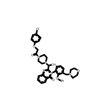 CC(C)Oc1c(CN2CCOCC2)cccc1-n1c(C(C)N2CCN(C(=O)COc3ccc(Cl)cc3)CC2)nc2ccccc2c1=O